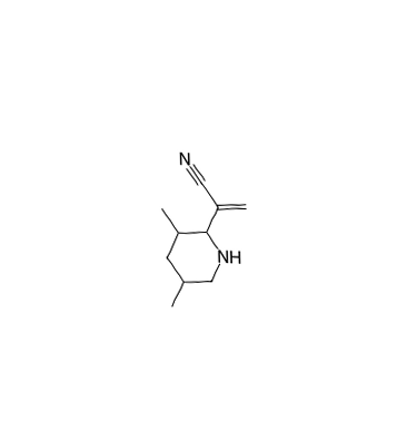 C=C(C#N)C1NCC(C)CC1C